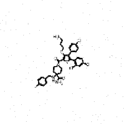 NCCCOc1c(C(=O)N2CCC(NCc3ccc(F)cc3)(C(N)=O)CC2)sc(-c2ccc(Cl)cc2Cl)c1-c1ccc(Cl)cc1